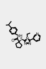 CCn1c(SC2(C(=O)Nc3ccc(C(C)C)cc3)CCCC2)nnc1-c1cccnc1